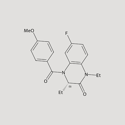 CC[C@H]1C(=O)N(CC)c2ccc(F)cc2N1C(=O)c1ccc(OC)cc1